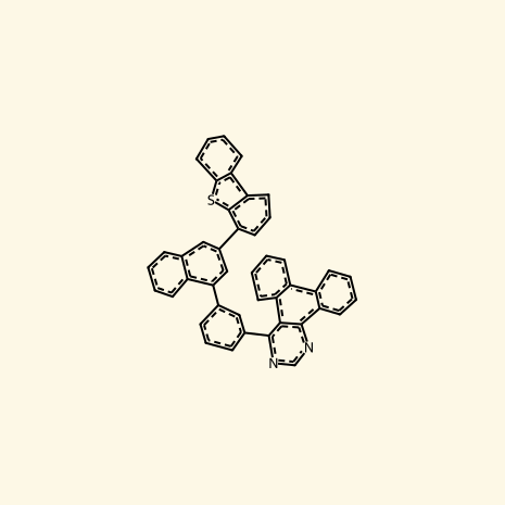 c1cc(-c2cc(-c3cccc4c3sc3ccccc34)cc3ccccc23)cc(-c2ncnc3c4ccccc4c4ccccc4c23)c1